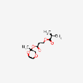 C=C(C)C(=O)OCCC(=O)OC1(C)COCCO1